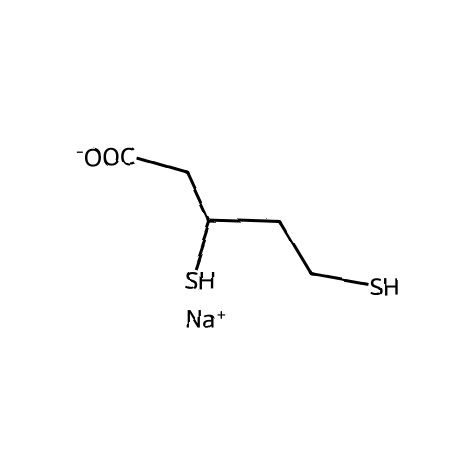 O=C([O-])CC(S)CCS.[Na+]